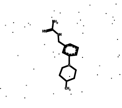 CC1CCN(c2cccc(CNC(=N)N)c2)CC1